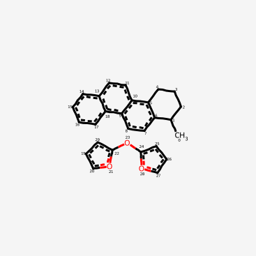 CC1CCCc2c1ccc1c2ccc2ccccc21.c1coc(Oc2ccco2)c1